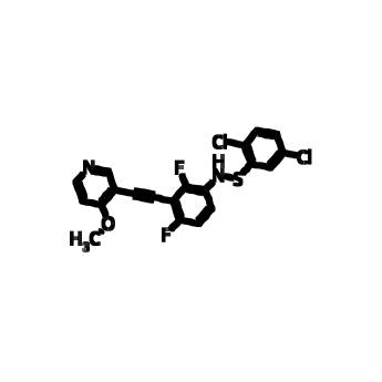 COc1ccncc1C#Cc1c(F)ccc(NSc2cc(Cl)ccc2Cl)c1F